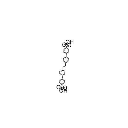 O=S(=O)(O)c1ccc(-c2ccc(/C=C/c3ccc(-c4ccc(S(=O)(=O)O)cc4)cc3)cc2)cc1